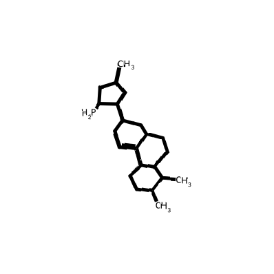 CC1CC(P)C(C2CC=C3C(CCC4C3CCC(C)C4C)C2)C1